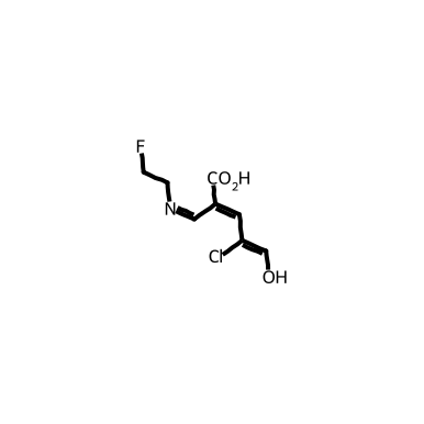 O=C(O)C(/C=N\CCF)=C/C(Cl)=C/O